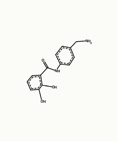 NCc1ccc(NC(=O)c2cccc(O)c2O)cc1